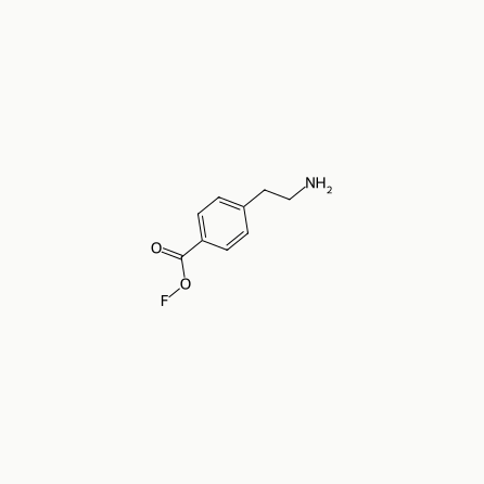 NCCc1ccc(C(=O)OF)cc1